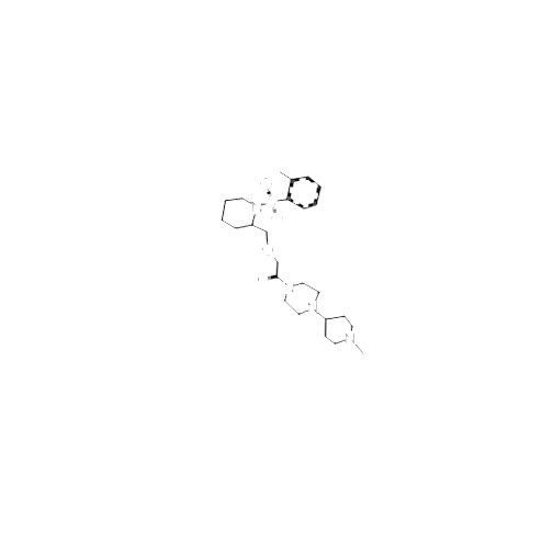 Cc1ccccc1S(=O)(=O)N1CCCCC1COCC(=O)N1CCN(C2CCN(C)CC2)CC1